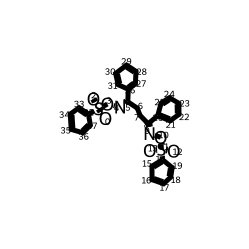 O=S(=O)(ON=C(CCC(=NOS(=O)(=O)c1ccccc1)c1ccccc1)c1ccccc1)c1ccccc1